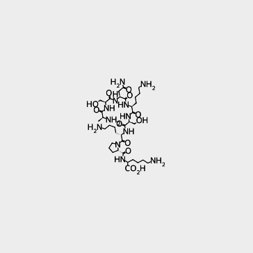 C[C@H](N)C(=O)N[C@@H](CO)C(=O)N[C@@H](CC(N)=O)C(=O)N[C@@H](CCCCN)C(=O)N[C@@H](CO)C(=O)N[C@@H](CCCCN)C(=O)N1CCC[C@H]1C(=O)N[C@@H](CCCCN)C(=O)O